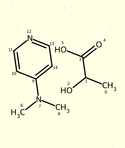 CC(O)C(=O)O.CN(C)c1ccncc1